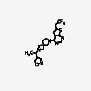 CC(c1cnoc1)N1CC2(CCN(c3ncnc4sc(CC(F)(F)F)cc34)C2)C1